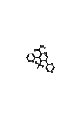 NC(=O)c1ncc(-c2ccncn2)c(C(F)(F)F)c1-c1ccccn1